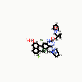 C#Cc1c(F)ccc2cc(O)cc(-c3c(Cl)cc4c(N5CC6CCC(C5)N6)nc(OCC5(CN6CC7CC(C6)O7)CC5)nc4c3F)c12